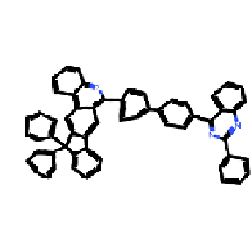 c1ccc(-c2nc(-c3ccc(-c4ccc(-c5nc6ccccc6c6cc7c(cc56)-c5ccccc5C7(c5ccccc5)c5ccccc5)cc4)cc3)c3ccccc3n2)cc1